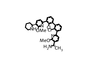 COc1nc(-c2cccc(-c3cccc(-c4ccc([C@@H]5CCCCN5)c(OC)n4)c3Cl)c2Cl)ccc1[C@H](C)N